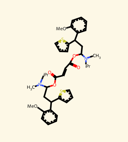 COc1ccccc1C(CC(OC(=O)/C=C/C(=O)OC(CC(c1cccs1)c1ccccc1OC)N(C)C(C)C)N(C)C(C)C)c1cccs1